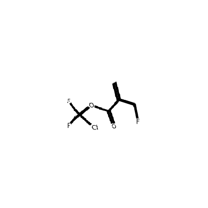 C=C(CF)C(=O)OC(F)(F)Cl